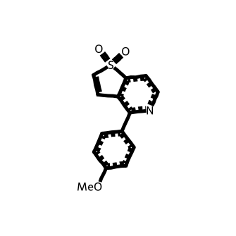 COc1ccc(-c2nccc3c2C=CS3(=O)=O)cc1